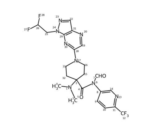 CN(C)C1(C(=O)N(C=O)c2ccc(C(F)(F)F)nc2)CCN(c2cnc3cnn(CC(F)F)c3n2)CC1